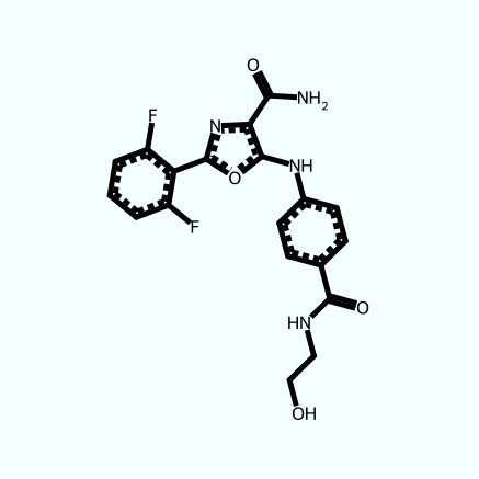 NC(=O)c1nc(-c2c(F)cccc2F)oc1Nc1ccc(C(=O)NCCO)cc1